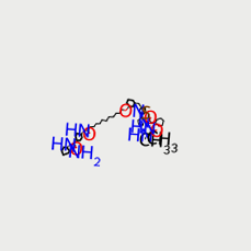 CN[C@@H](C)C(=O)N[C@H](C(=O)N1CCC[C@H]1c1nc(Cc2cccc(OCCCCCCCCCCCC(=O)Nc3ccc(C(=O)Nc4ccccc4N)cc3)c2)cs1)C1CCCCC1